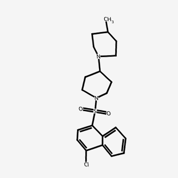 CC1CCN(C2CCN(S(=O)(=O)c3ccc(Cl)c4ccccc34)CC2)CC1